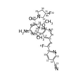 COc1ncc(C=C(F)c2ccc(C#N)cn2)cc1[C@@]1(C)N=C(N)S[C@@]2(C(=O)N3CC[C@@H](F)C3)C[C@H]21